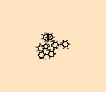 c1cccc(-c2cccc(-c3nc(-c4ccccc4)cc(-c4ccccc4)n3)c2-c2oc(-c3ccccc3)c3c2CCC=C3)c#1